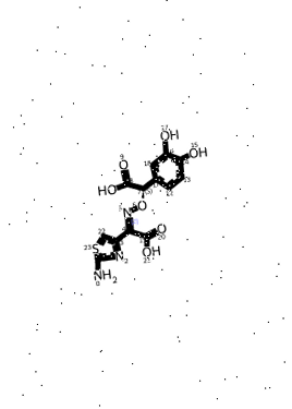 Nc1nc(/C(=N/O[C@H](C(=O)O)c2ccc(O)c(O)c2)C(=O)O)cs1